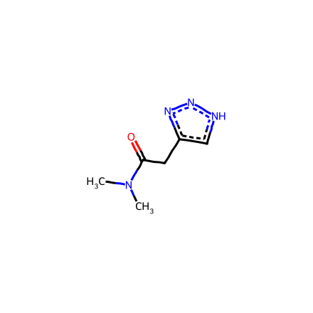 CN(C)C(=O)Cc1c[nH]nn1